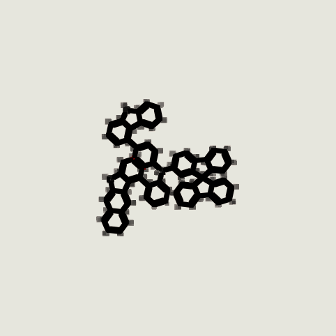 c1ccc(N(c2ccc(-c3cccc4oc5ccccc5c34)cc2)c2ccc3c(c2)C2(c4ccccc4-c4ccccc42)c2ccccc2-3)c(-c2cccc3oc4cc5ccccc5cc4c23)c1